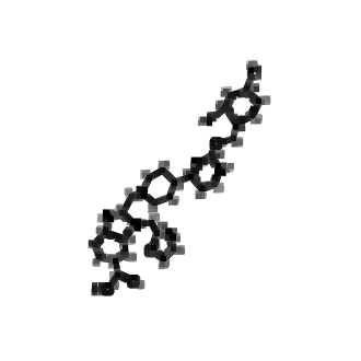 O=C(O)c1ccc2nc(CN3CCC(c4ccnc(OCc5ccc(Cl)cc5F)n4)CC3)n(Cc3ncco3)c2c1